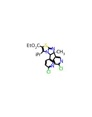 CCOC(=O)C1=C(C(C)C)N2C(=N[C@@](C)(c3ccc(Cl)nc3)C2c2ccc(Cl)nc2)S1